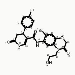 O=C1C[C@@H](c2ccc(F)cc2)C(C(=O)Nc2cc3c(cc2Br)OCC(=O)N3CCO)=CN1